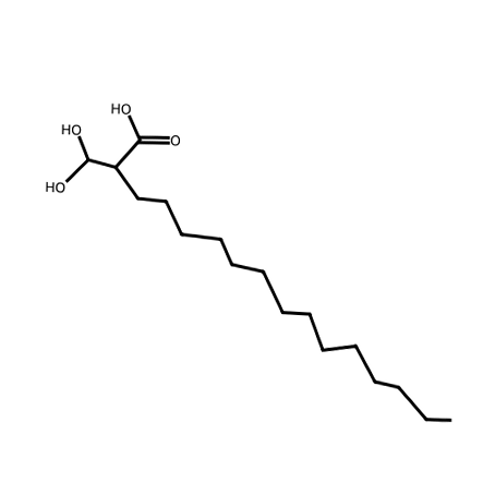 CCCCCCCCCCCCCCC(C(=O)O)C(O)O